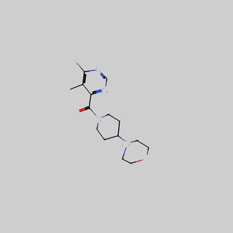 Cc1c(Cl)ncnc1C(=O)N1CCC(N2CCOCC2)CC1